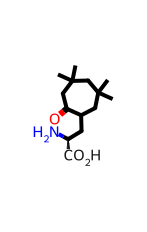 CC1(C)CC(=O)C(C[C@H](N)C(=O)O)CC(C)(C)C1